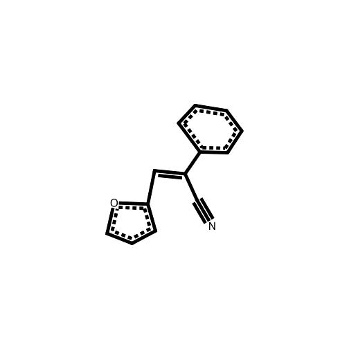 N#CC(=Cc1ccco1)c1ccccc1